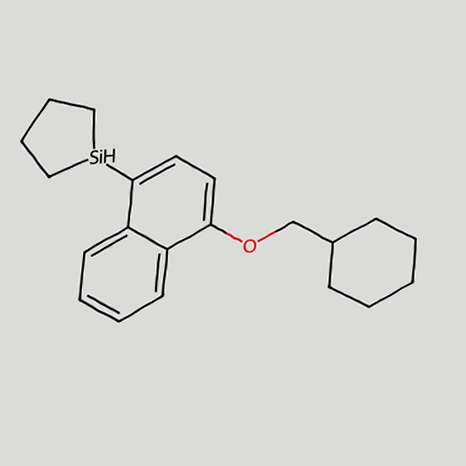 c1ccc2c([SiH]3CCCC3)ccc(OCC3CCCCC3)c2c1